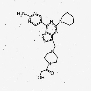 Nc1ncc(-c2nc(N3CCCCC3)nc3c(CN4CCN(C(=O)CO)CC4)csc23)cn1